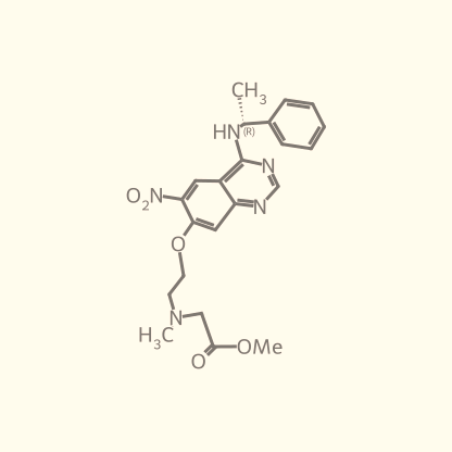 COC(=O)CN(C)CCOc1cc2ncnc(N[C@H](C)c3ccccc3)c2cc1[N+](=O)[O-]